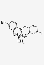 CCCN(Cc1ccc(F)cc1C)c1ccc(Br)cc1N